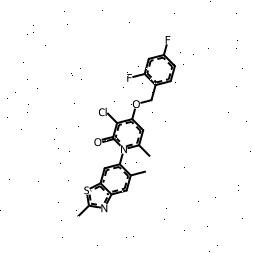 Cc1nc2cc(C)c(-n3c(C)cc(OCc4ccc(F)cc4F)c(Cl)c3=O)cc2s1